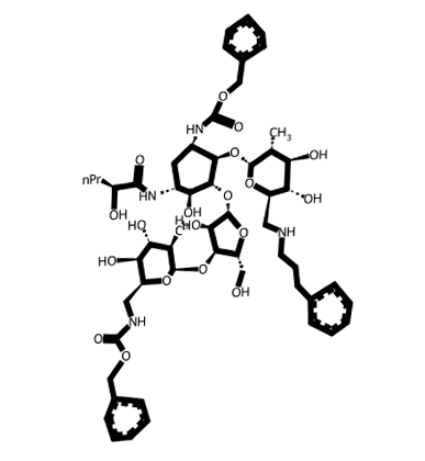 CCC[C@H](O)C(=O)N[C@@H]1C[C@H](NC(=O)OCc2ccccc2)[C@@H](O[C@H]2O[C@H](CNCCCc3ccccc3)[C@@H](O)[C@H](O)[C@H]2C)[C@H](O[C@@H]2O[C@H](CO)[C@@H](O[C@H]3O[C@@H](CNC(=O)OCc4ccccc4)[C@@H](O)[C@H](O)[C@H]3C)[C@H]2O)[C@H]1O